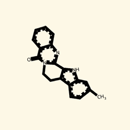 Cc1ccc2c3c([nH]c2c1)-c1nc2ccccc2c(=O)n1CC3